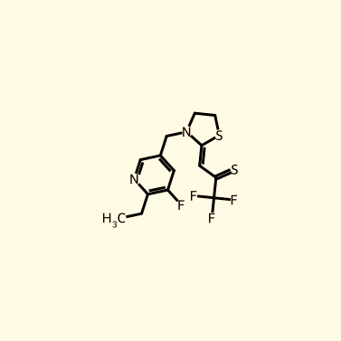 CCc1ncc(CN2CCS/C2=C\C(=S)C(F)(F)F)cc1F